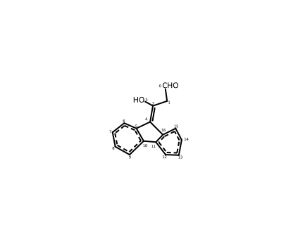 O=CCC(O)=C1c2ccccc2-c2ccccc21